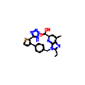 CCc1nc2c(C)cc(C(=O)O)nc2n1Cc1ccc(-c2ccsc2-c2nnn[nH]2)cc1